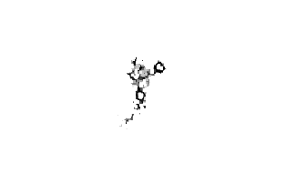 COC(=O)CCNc1nc2ccc(S(=O)(=O)N(CC(C)C)C[C@@H](O)[C@H](Cc3ccccc3)NC(=O)OC(C)(C)C)cc2s1